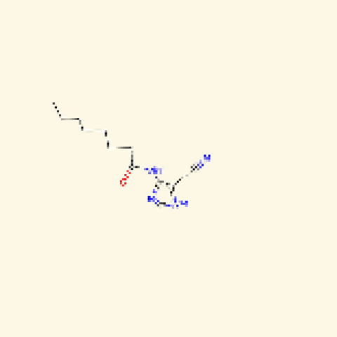 CCCCCCCC(=O)Nc1nc[nH]c1C#N